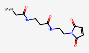 CNCC(=O)NCCC(=O)NCCN1C(=O)C=CC1=O